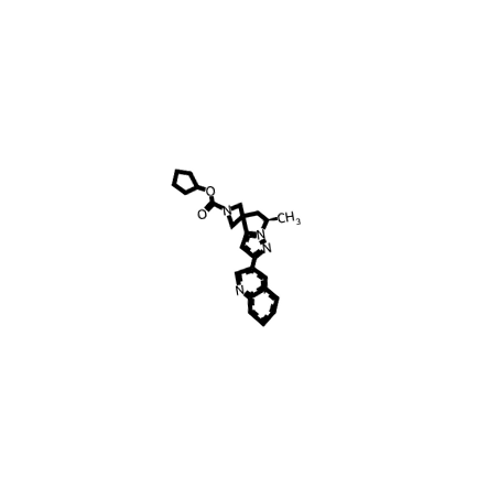 C[C@@H]1CC2(CN(C(=O)OC3CCCC3)C2)c2cc(-c3cnc4ccccc4c3)nn21